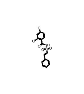 O=C(NS(=O)(=O)C=Cc1ccccc1)c1ccc(F)cc1Cl